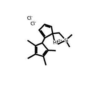 CC1=C(C)C(C2=CC=C[C]2([Hf+2])C[Si](C)(C)C)C(C)=C1C.[Cl-].[Cl-]